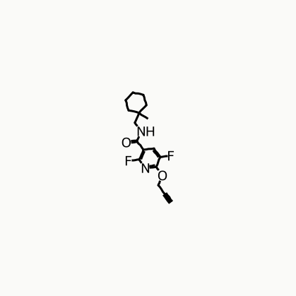 C#CCOc1nc(F)c(C(=O)NCC2(C)CCCCC2)cc1F